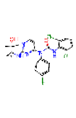 C[C@H](Nc1nccc(N(C(=O)Nc2c(Cl)cccc2Cl)c2ccc(F)cc2)n1)C(C)(C)O